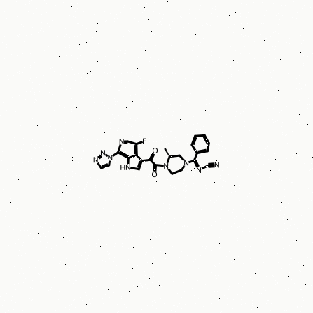 C[C@H]1CN(/C(=N/C#N)c2ccccc2)CCN1C(=O)C(=O)c1c[nH]c2c(-n3ccnn3)ncc(F)c12